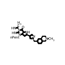 CCCCCn1c(=N)n(C(C)=N)c(=O)c2[nH]c(-c3cnn(Cc4ccc5c(c4)CCN(C)C5)c3)cc21